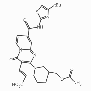 CC(C)(C)c1csc(NC(=O)c2ccn3c(=O)c(C=CC(=O)O)c(N4CCCC(COC(N)=O)C4)nc3c2)n1